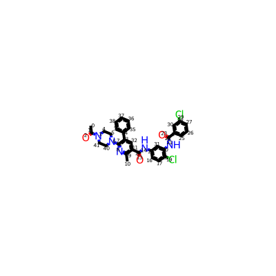 CC(=O)N1CCN(c2nc(C)c(C(=O)Nc3ccc(Cl)c(NC(=O)c4cccc(Cl)c4)c3)cc2-c2ccccc2)CC1